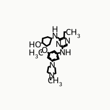 CCc1ncc(Nc2cc(OC)cc(N3CCN(C)CC3)c2)nc1N[C@H]1CC[C@H](O)CC1